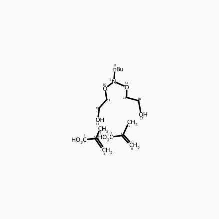 C=C(C)C(=O)O.C=C(C)C(=O)O.CCCCN(OCCO)OCCO